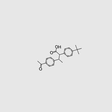 CC(=O)c1ccc(C(C)C(C(=O)O)c2ccc(C(C)(C)C)cc2)cc1